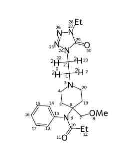 [2H]C([2H])(N1CCC(COC)(N(C(=O)CC)c2ccccc2)CC1)C([2H])([2H])n1nnn(CC)c1=O